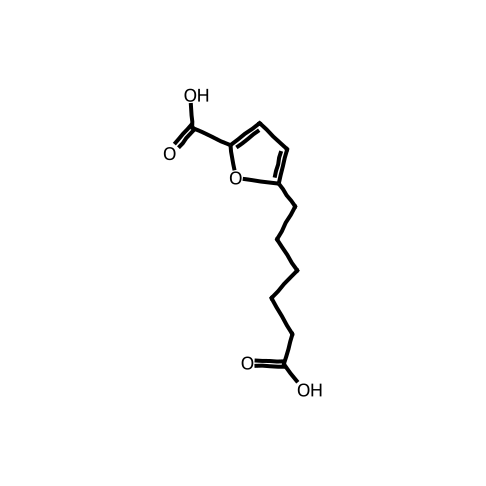 O=C(O)CCCCCc1ccc(C(=O)O)o1